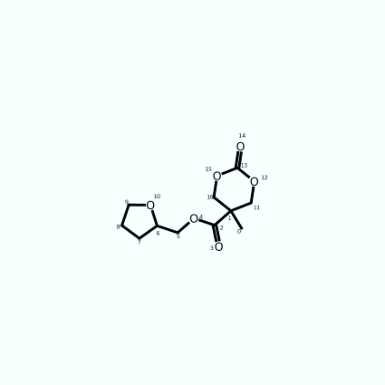 CC1(C(=O)OCC2CCCO2)COC(=O)OC1